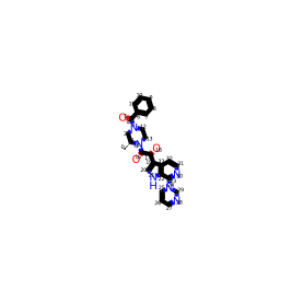 C[C@@H]1CN(C(=O)c2ccccc2)CCN1C(=O)C(=O)c1c[nH]c2c(N3C=CC=NC3)nccc12